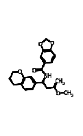 C=C(CC(NC(=O)c1ccc2c(c1)OCO2)c1ccc2c(c1)OCCC2)OC